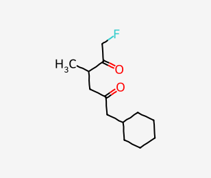 CC(CC(=O)CC1CCCCC1)C(=O)CF